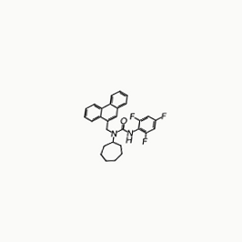 O=C(Nc1c(F)cc(F)cc1F)N(Cc1cc2ccccc2c2ccccc12)C1CCCCCC1